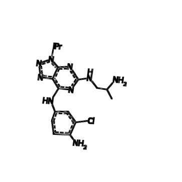 CC(N)CNc1nc(Nc2ccc(N)c(Cl)c2)c2nnn(C(C)C)c2n1